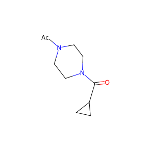 CC(=O)N1CCN(C(=O)C2CC2)CC1